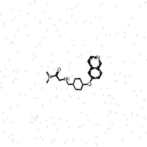 CN(C)C(=O)CNCC1CCC(Oc2ccc3cnccc3c2)CC1